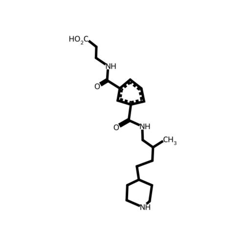 CC(CCC1CCNCC1)CNC(=O)c1cccc(C(=O)NCCC(=O)O)c1